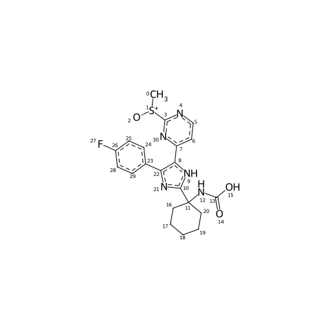 C[S+]([O-])c1nccc(-c2[nH]c(C3(NC(=O)O)CCCCC3)nc2-c2ccc(F)cc2)n1